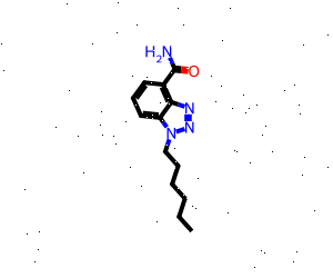 CCCCCCn1nnc2c(C(N)=O)cccc21